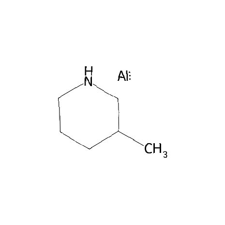 CC1CCCNC1.[Al]